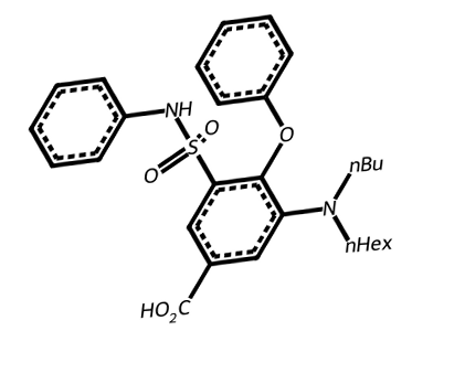 CCCCCCN(CCCC)c1cc(C(=O)O)cc(S(=O)(=O)Nc2ccccc2)c1Oc1ccccc1